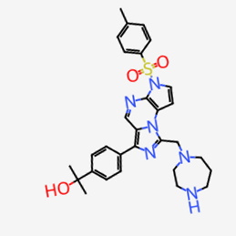 Cc1ccc(S(=O)(=O)n2ccc3c2ncc2c(-c4ccc(C(C)(C)O)cc4)nc(CN4CCCNCC4)n23)cc1